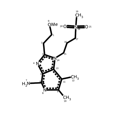 COCCc1nc2c(N)nc(C)c(C)c2n1CCCS(C)(=O)=O